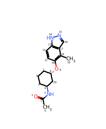 CC(=O)N[C@H]1CCC[C@H](Oc2ccc3[nH]ncc3c2C)C1